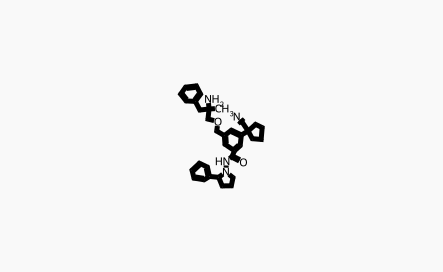 CC(N)(COCc1cc(C(=O)NN2CCCC2c2ccccc2)cc(C2(C#N)CCCC2)c1)Cc1ccccc1